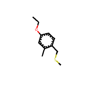 CCOc1ccc(CSC)c(C)c1